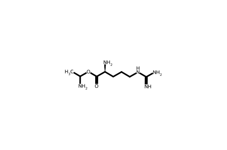 CC(N)OC(=O)[C@@H](N)CCCNC(=N)N